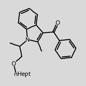 CCCCCCCOCC(C)n1c(C)c(C(=O)c2ccccc2)c2ccccc21